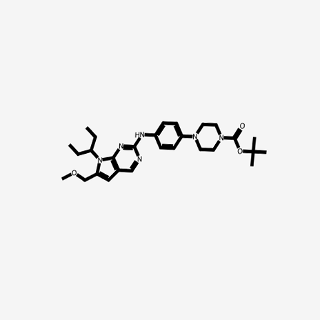 CCC(CC)n1c(COC)cc2cnc(Nc3ccc(N4CCN(C(=O)OC(C)(C)C)CC4)cc3)nc21